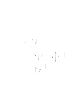 O=C(Cc1cncc(F)c1)N(Cc1cncc(F)c1)c1ccc(-c2c[nH]cn2)cc1